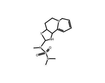 CN(C)S(=O)(=O)N(C)C1NC2C3=CC=CCN3CCC2S1